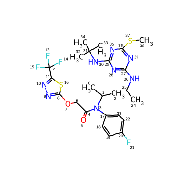 CC(C)N(C(=O)COc1nnc(C(F)(F)F)s1)c1ccc(F)cc1.CCNc1nc(NC(C)(C)C)nc(SC)n1